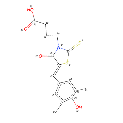 Cc1cc(/C=C2\SC(=S)N(CCCC(=O)O)C2=O)cc(C)c1O